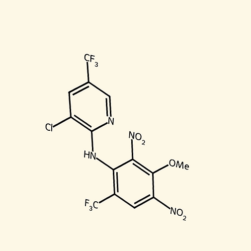 COc1c([N+](=O)[O-])cc(C(F)(F)F)c(Nc2ncc(C(F)(F)F)cc2Cl)c1[N+](=O)[O-]